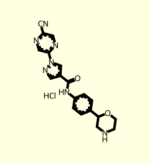 Cl.N#Cc1cnc(-n2cc(C(=O)Nc3ccc(C4CNCCO4)cc3)cn2)cn1